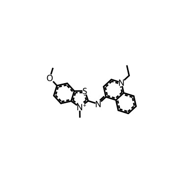 CCn1cc/c(=N\c2sc3cc(OC)ccc3[n+]2C)c2ccccc21